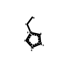 CCn1[c]nn[c]1